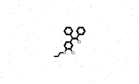 CCCOc1ccc(/C(=C(\Cl)c2ccccc2)c2ccccc2)cc1Cl